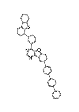 c1ccc(-c2ccc(-c3ccc(-c4ccc5oc6c(-c7cccc(-c8cccc9c8sc8ccccc89)c7)ncnc6c5c4)cc3)cc2)cc1